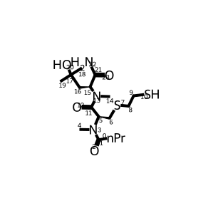 CCCC(=O)N(C)[C@H](CSCCS)C(=O)N(C)[C@@H](CC(C)(C)O)C(N)=O